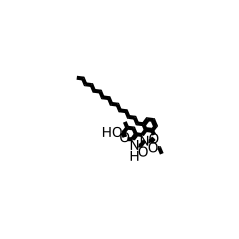 CCCCCCCCCCCCCCCc1cccc(C)c1C1C(CC(C)C(=O)O)=C(C)NC(=O)N1C(=O)OCC